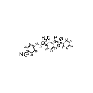 Cc1c(NS(=O)(=O)c2ccccc2)cccc1OCCc1ccc(C#N)cc1